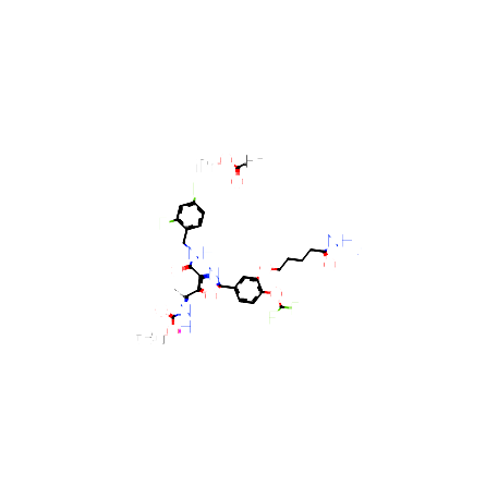 CCC(=O)OC(C)C.C[C@H](NC(=O)OC(C)(C)C)c1oc(-c2ccc(OC(F)F)c(OCCCCC(N)=O)c2)nc1C(=O)NCc1ccc(F)cc1F